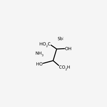 N.O=C(O)C(O)C(O)C(=O)O.[Sb]